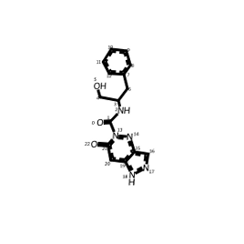 O=C(NC(CO)Cc1ccccc1)n1nc2cn[nH]c2cc1=O